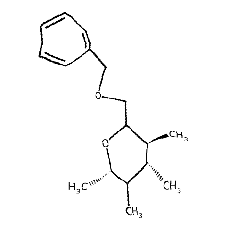 CC1[C@H](C)OC(COCc2ccccc2)[C@@H](C)[C@@H]1C